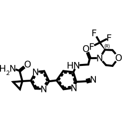 N#Cc1ncc(-c2cnc(C3(C(N)=O)CC3)cn2)cc1NCC(=O)N1CCOC[C@@H]1C(F)(F)F